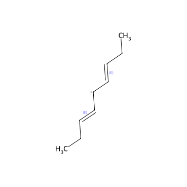 CC/C=C/[C]/C=C/CC